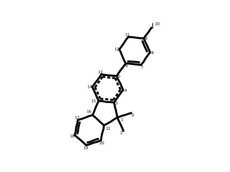 CC1(C)c2cc(C3=CC=C(I)CC3)ccc2C2C=CC=CC21